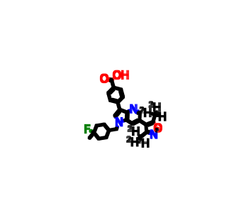 [2H]C([2H])([2H])c1noc(C([2H])([2H])[2H])c1-c1cnc2c(-c3ccc(C(=O)O)cc3)cn(CC3CCC(C)(F)CC3)c2c1